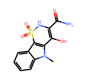 Cn1c2c(c3ccccc31)S(=O)(=O)NC(C(N)=O)=C2O